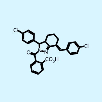 O=C(O)c1ccccc1C(=O)N1N=C2/C(=C/c3ccc(Cl)cc3)CCCC2C1c1ccc(Cl)cc1